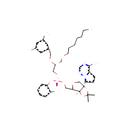 CCCCCCCCCCCCCCCCOC[C@@H](COP(=O)(OC[C@@]1(C)OC[C@]2(c3ccc4c(N)ncnn34)OC(C)(C)O[C@H]12)Oc1ccccc1Cl)OCc1cc(F)cc(C#N)c1